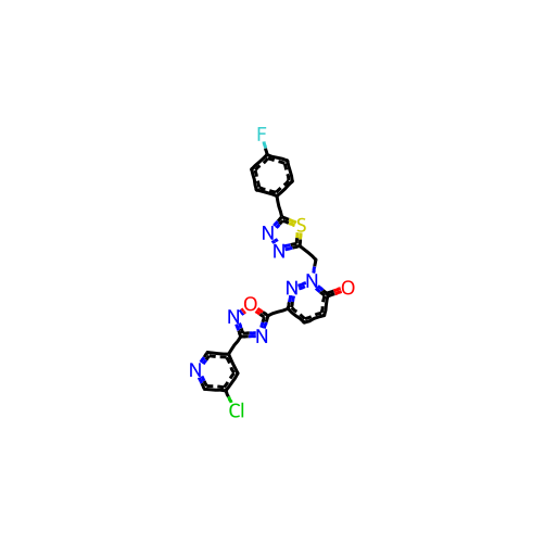 O=c1ccc(-c2nc(-c3cncc(Cl)c3)no2)nn1Cc1nnc(-c2ccc(F)cc2)s1